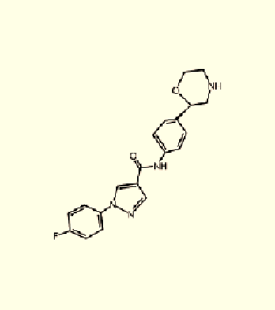 O=C(Nc1ccc([C@@H]2CNCCO2)cc1)c1cnn(-c2ccc(F)cc2)c1